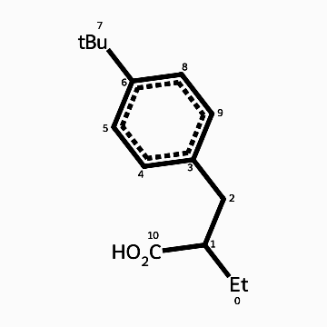 CCC(Cc1ccc(C(C)(C)C)cc1)C(=O)O